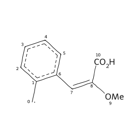 [CH2]c1ccccc1C=C(OC)C(=O)O